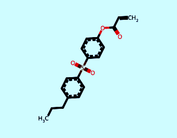 C=CC(=O)Oc1ccc(S(=O)(=O)c2ccc(CCC)cc2)cc1